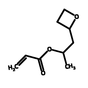 C=CC(=O)OC(C)CC1CCO1